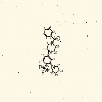 O=C(c1ccccc1)N1CCN(c2ccc(C(F)(F)F)c(N3CCCC3)c2)CC1